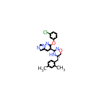 Cc1ccc(C[C@@H]2CON=C(c3cc4cncn4nc3Oc3cccc(Cl)c3)N2)c(C)c1